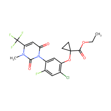 CCOC(=O)C1(Oc2cc(-n3c(=O)cc(C(F)(F)F)n(C)c3=O)c(F)cc2Cl)CC1